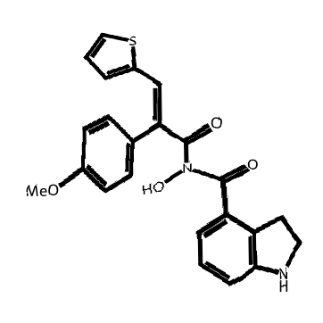 COc1ccc(C(=Cc2cccs2)C(=O)N(O)C(=O)c2cccc3c2CCN3)cc1